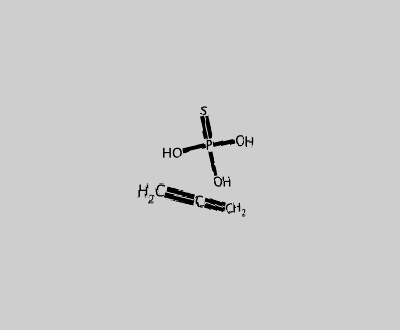 C=C=C.OP(O)(O)=S